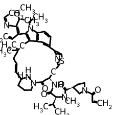 C=CC(=O)N1CC[C@H](C(=O)N(C)[C@H](C(=O)N[C@H]2Cc3nc(cs3)-c3ccc4c(c3)c(c(/C(C=C)=C(/N=C\C)[C@H](C)OC)n4CC)CC(C)(C)C/C=C/[C@@H]3CCCN(N3)C2=O)C(C)C)C1